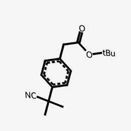 CC(C)(C)OC(=O)Cc1ccc(C(C)(C)C#N)cc1